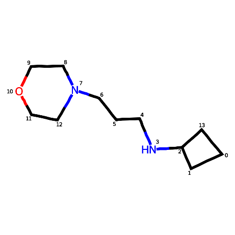 C1CC(NCCCN2CCOCC2)C1